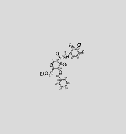 CCOC(=O)c1occ(C(=O)NCc2ccc(F)c(Cl)c2F)c(=O)c1OCc1ccccc1